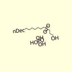 CCCCCCCCCCCCCCCCCS(=O)(=O)CCCO.O=P(O)(O)O